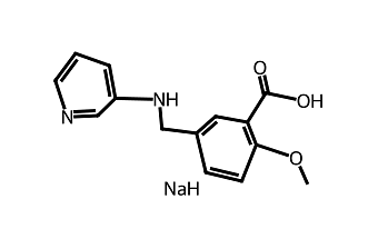 COc1ccc(CNc2cccnc2)cc1C(=O)O.[NaH]